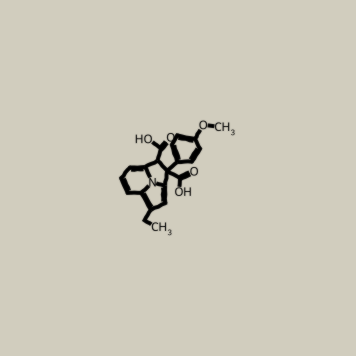 CCc1cc2n3c(cccc13)C(C(=O)O)C2(C(=O)O)c1ccc(OC)cc1